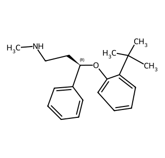 CNCC[C@@H](Oc1ccccc1C(C)(C)C)c1ccccc1